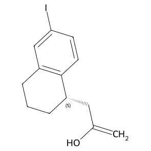 C=C(O)C[C@@H]1CCCc2cc(I)ccc21